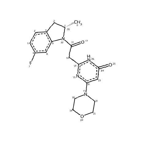 C[C@H]1Cc2ccc(F)cc2N1C(=O)Cc1nc(N2CCOCC2)cc(=O)[nH]1